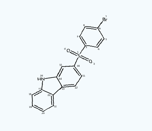 O=S(=O)(c1ccc(Br)cc1)c1ccc2c(c1)[nH]c1ccccc12